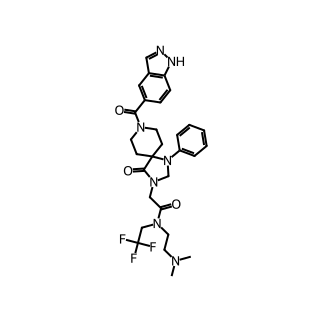 CN(C)CCN(CC(F)(F)F)C(=O)CN1CN(c2ccccc2)C2(CCN(C(=O)c3ccc4[nH]ncc4c3)CC2)C1=O